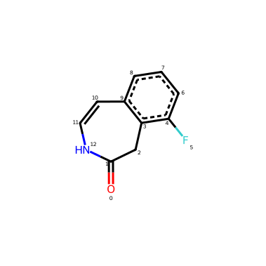 O=C1Cc2c(F)cccc2C=CN1